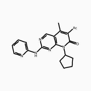 CC(=O)c1c(C)c2cnc(Nc3ccccn3)nc2n(C2CCCC2)c1=O